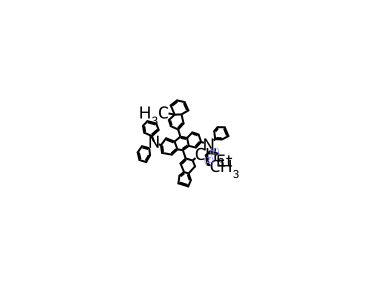 C/C=C\C(=C/CC)N(c1ccccc1)c1ccc2c(C3=CC4C=CC=CC4(C)C=C3)c3cc(N(c4ccccc4)c4ccccc4)ccc3c(C3=Cc4ccccc4CC3C)c2c1